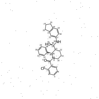 O=C(c1ccccc1Cl)N1CCCC([C@@H](O)Nc2ccc3c(c2)CCC3)[C@@H]1c1ccccc1